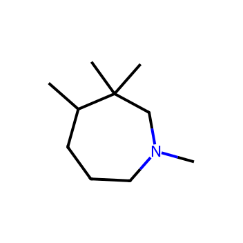 CC1CCCN(C)CC1(C)C